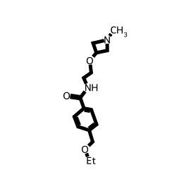 CCOCc1ccc(C(=O)NCCOC2CN(C)C2)cc1